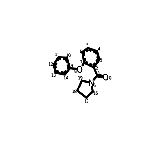 O=C(c1ccccc1Oc1ccccc1)N1CCCC1